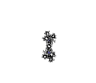 CC1(C)CC(N2CCCC2)=C(S(=O)(=O)c2ccccc2)/C(=C(\C#N)S(=O)(=O)c2ccc(S(=O)(=O)/C(C#N)=C3\CC(C)(C)CC(N4CCCC4)=C3S(=O)(=O)c3ccccc3)cc2)C1